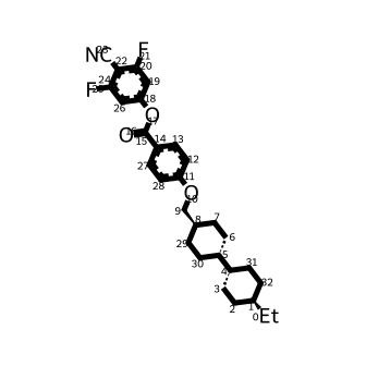 CC[C@H]1CC[C@H]([C@H]2CC[C@H](COc3ccc(C(=O)Oc4cc(F)c(C#N)c(F)c4)cc3)CC2)CC1